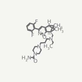 CCN(C[C@@]12CC[C@@H](c3cc(-c4c(F)cccc4F)nnc31)C2(C)C)C(=O)CCN1CCN(C(N)=O)CC1